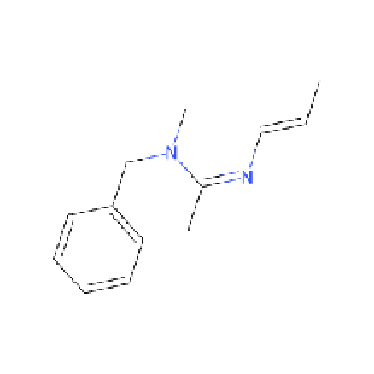 CC=C/N=C(/C)N(C)Cc1ccccc1